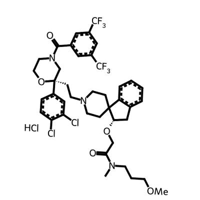 COCCCN(C)C(=O)CO[C@H]1Cc2ccccc2C12CCN(CC[C@@]1(c3ccc(Cl)c(Cl)c3)CN(C(=O)c3cc(C(F)(F)F)cc(C(F)(F)F)c3)CCO1)CC2.Cl